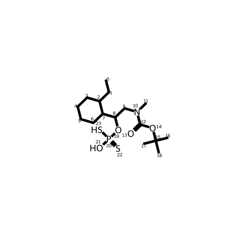 CCC1CCCCC1C(CN(C)C(=O)OC(C)(C)C)OP(O)(=S)S